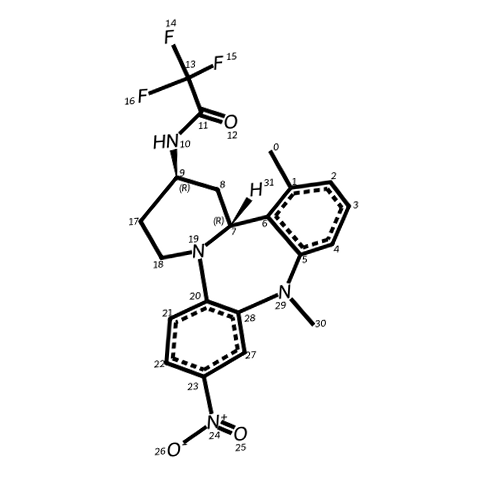 Cc1cccc2c1[C@H]1C[C@H](NC(=O)C(F)(F)F)CCN1c1ccc([N+](=O)[O-])cc1N2C